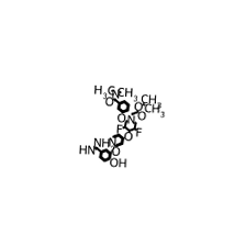 CC(C)OC(=O)CN1CC(F)C(Oc2ccnc(Oc3cc(C(=N)N)ccc3O)c2)C(F)C1Oc1cccc(C(=O)N(C)C)c1